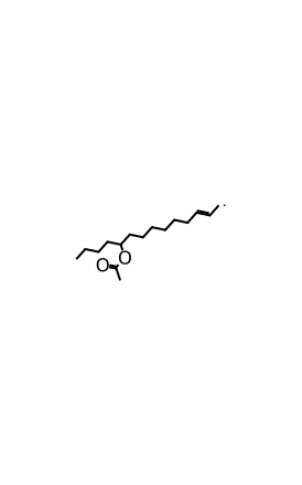 [CH2]C=CCCCCCCC(CCCC)OC(C)=O